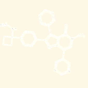 Cn1cc(-c2cncnc2)c2oc(-c3ccc(C4(NC(=O)O)CCC4)cc3)c(-c3ccccc3)c2c1=O